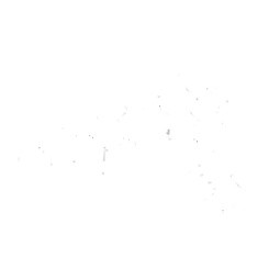 CN1CCC(N2Cc3cc4nc(-c5c(NC[C@@H](O)c6cccc(Cl)c6)cc[nH]c5=O)[nH]c4cc3C2=O)CC1